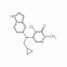 Cn1ncc(N(CC2CC2)c2ccc3[nH]ccc3c2)c(Cl)c1=O